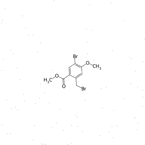 COC(=O)c1cc(Br)c(OC)cc1CBr